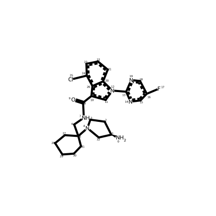 N[C@@H]1CCN(C2(CNC(=O)c3cn(-c4ncc(F)cn4)c4cccc(Cl)c34)CCCCC2)C1